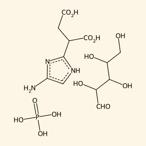 Nc1c[nH]c(C(CC(=O)O)C(=O)O)n1.O=CC(O)C(O)C(O)CO.O=P(O)(O)O